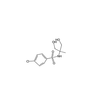 CC(CO)(CO)NS(=O)(=O)c1ccc(Cl)cc1